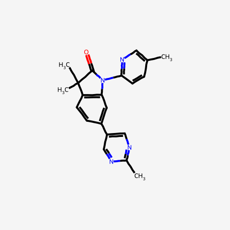 Cc1ccc(N2C(=O)C(C)(C)c3ccc(-c4cnc(C)nc4)cc32)nc1